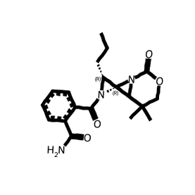 CCC[C@H]1N(C(=O)c2ccccc2C(N)=O)[C@]12C1N2C(=O)OCC1(C)C